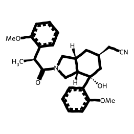 COc1ccccc1[C@H](C)C(=O)N1C[C@@H]2C[C@@H](CC#N)C[C@@](O)(c3ccccc3OC)[C@@H]2C1